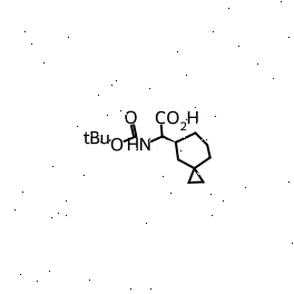 CC(C)(C)OC(=O)NC(C(=O)O)[C@H]1CCCC2(CC2)C1